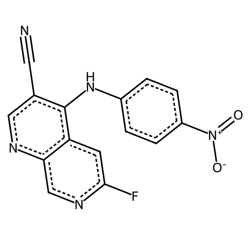 N#Cc1cnc2cnc(F)cc2c1Nc1ccc([N+](=O)[O-])cc1